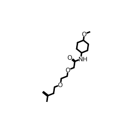 C=C(C)CCOCCOCC(=O)NC1CCC(OC)CC1